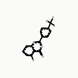 O=c1oc(-c2ccc(C(F)(F)F)cc2)nc2cccc(F)c12